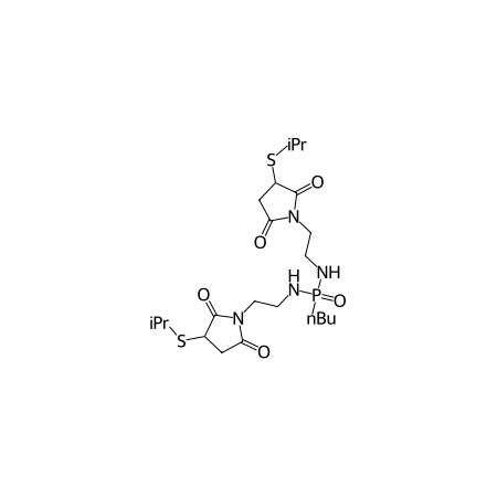 CCCCP(=O)(NCCN1C(=O)CC(SC(C)C)C1=O)NCCN1C(=O)CC(SC(C)C)C1=O